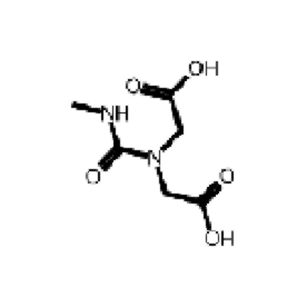 CNC(=O)N(CC(=O)O)CC(=O)O